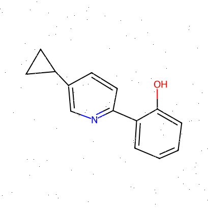 Oc1ccccc1-c1ccc(C2CC2)cn1